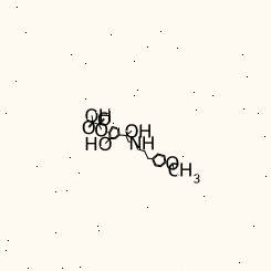 COc1ccc(CCCNCC(O)c2ccc(OC(=O)C(=O)O)c(O)c2)cc1